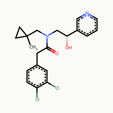 CC1(CN(C[C@@H](O)c2cccnc2)C(=O)Cc2ccc(Cl)c(Cl)c2)CC1